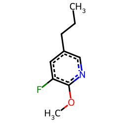 CCCc1cnc(OC)c(F)c1